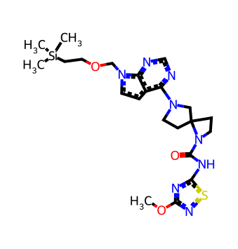 COc1nsc(NC(=O)N2CCC23CCN(c2ncnc4c2ccn4COCC[Si](C)(C)C)C3)n1